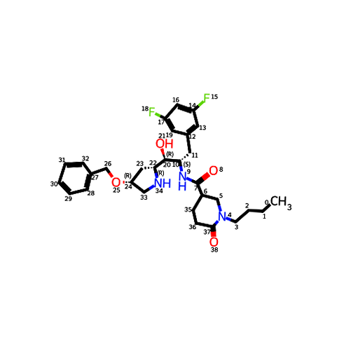 CCCCN1CC(C(=O)N[C@@H](Cc2cc(F)cc(F)c2)[C@H](O)[C@H]2C[C@@H](OCc3ccccc3)CN2)CCC1=O